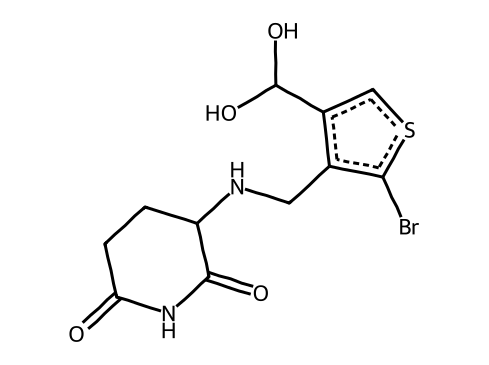 O=C1CCC(NCc2c(C(O)O)csc2Br)C(=O)N1